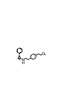 COCCN1CCC(CCN[C@@H]2C[C@H]2c2ccccc2)CC1